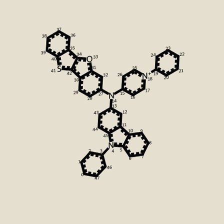 c1ccc(-n2c3ccccc3c3cc(N(c4cc[n+](-c5ccccc5)cc4)c4ccc5c(c4)oc4c6ccccc6sc54)ccc32)cc1